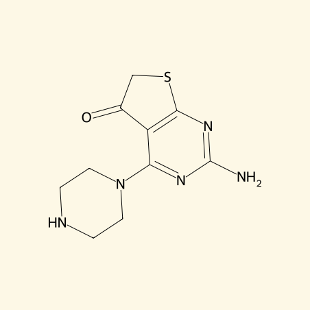 Nc1nc2c(c(N3CCNCC3)n1)C(=O)CS2